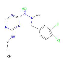 C#CCNc1ncnc(NN(CCC)Cc2ccc(Cl)c(Cl)c2)n1.Cl